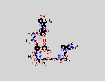 CCc1c2c(nc3ccc(O)cc13)-c1cc3c(c(=O)n1C2)COC(=O)[C@@]3(CC)OC(=O)N(C)CCN(C)C(=O)OCc1ccc(NC(=O)[C@H](C)NC(=O)[C@@H](NC(=O)CCOCCOCCNC(=O)[C@H](C)NC(=O)CCn2c3c(c4cccnc42)C(I)N(C)N(C)C3)C(C)C)c(O[C@@H]2O[C@H](C(=O)O)[C@@H](O)[C@H](O)[C@H]2O)c1